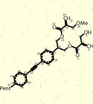 C=C(CO)C(=O)OCC(COC(=O)C(=C)COC)c1ccc(C#Cc2ccc(CCCCC)cc2)cc1